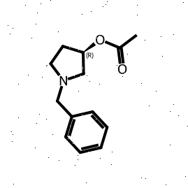 CC(=O)O[C@@H]1CCN(Cc2ccccc2)C1